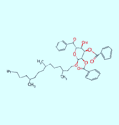 CC(C)CCCC(C)CCCC(C)CCCC(C)CCO[C@H]1OC(C(=O)c2ccccc2)[C@@H](O)[C@@H](OC(=O)c2ccccc2)[C@H]1OC(=O)c1ccccc1